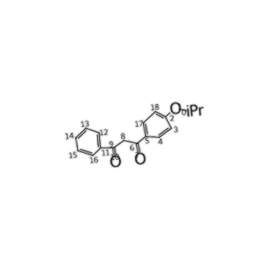 CC(C)Oc1ccc(C(=O)CC(=O)c2ccccc2)cc1